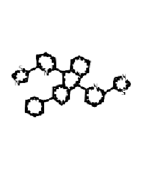 c1ccc(-c2ccc3c(-c4cccc(-c5cncs5)n4)c4ccccc4c(-c4cccc(-c5cncs5)n4)c3c2)cc1